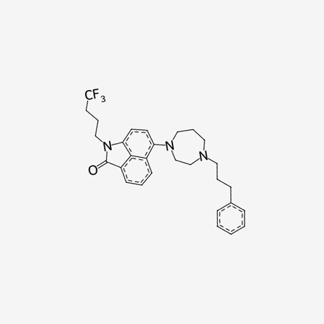 O=C1c2cccc3c(N4CCCN(CCCc5ccccc5)CC4)ccc(c23)N1CCCC(F)(F)F